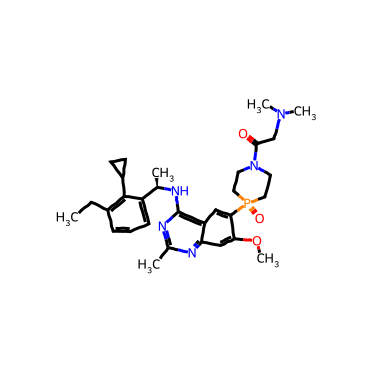 CCc1cccc([C@@H](C)Nc2nc(C)nc3cc(OC)c(P4(=O)CCN(C(=O)CN(C)C)CC4)cc23)c1C1CC1